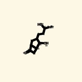 CCCC(O)CCC1CC2C(=O)CC2C1O